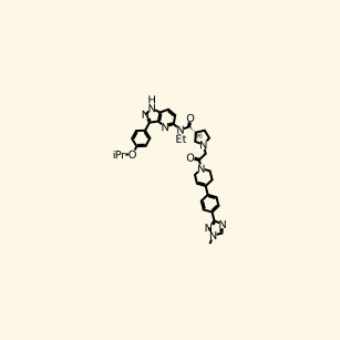 CCN(C(=O)[C@@H]1CCN(CC(=O)N2CC=C(c3ccc(-c4ncn(C)n4)cc3)CC2)C1)c1ccc2[nH]nc(-c3ccc(OC(C)C)cc3)c2n1